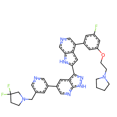 Fc1cc(OCCN2CCCC2)cc(-c2cncc3[nH]c(-c4n[nH]c5ncc(-c6cncc(CN7CCC(F)(F)C7)c6)cc45)cc23)c1